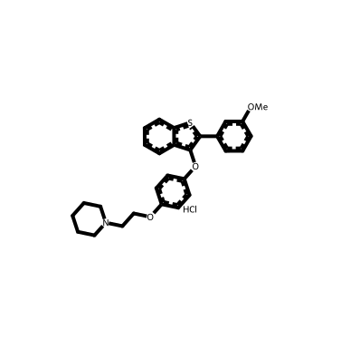 COc1cccc(-c2sc3ccccc3c2Oc2ccc(OCCN3CCCCC3)cc2)c1.Cl